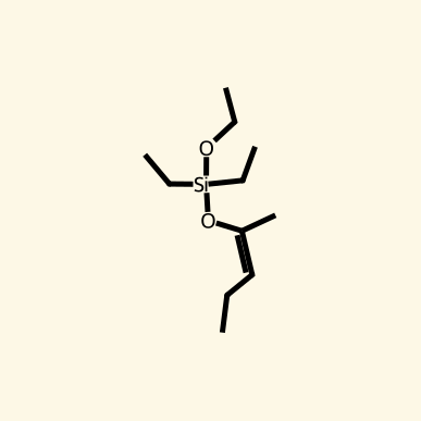 CCC=C(C)O[Si](CC)(CC)OCC